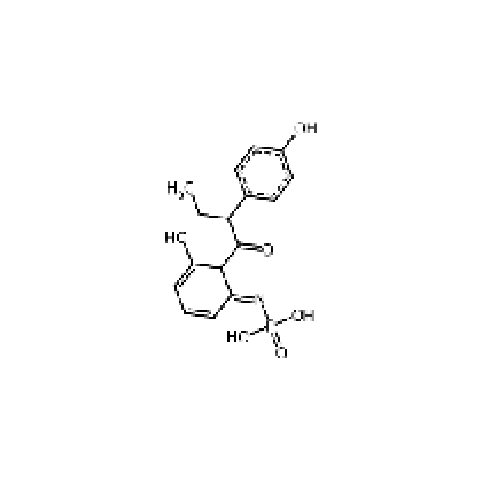 CCC(C(=O)C1C(O)=CC=C/C1=N\P(=O)(O)O)c1ccc(O)cc1